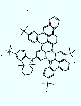 CC(C)(C)c1ccc2c(c1)B1c3ccc(-c4ccccc4)cc3N(c3ccc(C(C)(C)C)cc3-c3ccccc3)c3cc(N4c5ccc([Si](C)(C)C)cc5C5(C)CCCCC45C)cc(c31)N2c1ccc(C(C)(C)C)cc1-c1ccccc1